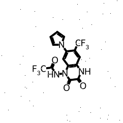 O=C(Nn1c(=O)c(=O)[nH]c2cc(C(F)(F)F)c(-n3cccc3)cc21)C(F)(F)F